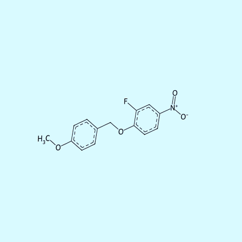 COc1ccc(COc2ccc([N+](=O)[O-])cc2F)cc1